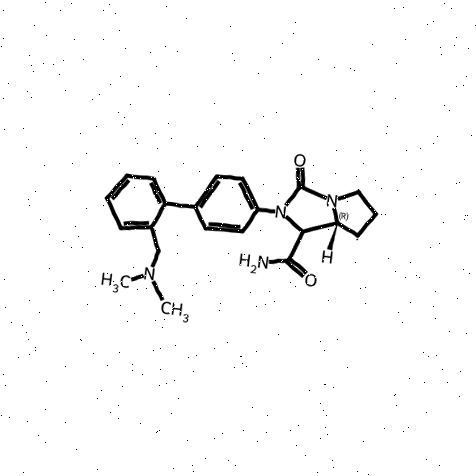 CN(C)Cc1ccccc1-c1ccc(N2C(=O)N3CC[CH][C@@H]3C2C(N)=O)cc1